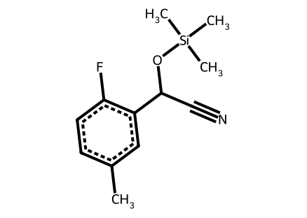 Cc1ccc(F)c(C(C#N)O[Si](C)(C)C)c1